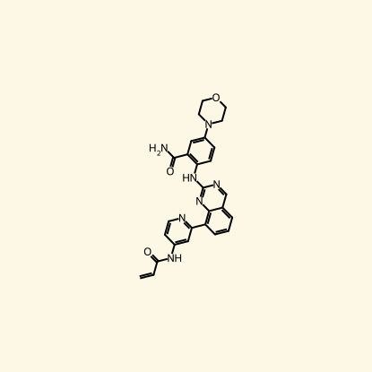 C=CC(=O)Nc1ccnc(-c2cccc3cnc(Nc4ccc(N5CCOCC5)cc4C(N)=O)nc23)c1